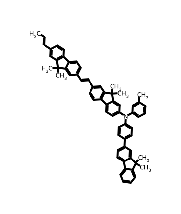 C/C=C/c1ccc2c(c1)C(C)(C)c1cc(/C=C/c3ccc4c(c3)C(C)(C)c3cc(N(c5ccc(-c6ccc7c(c6)C(C)(C)c6ccccc6-7)cc5)c5cccc(C)c5)ccc3-4)ccc1-2